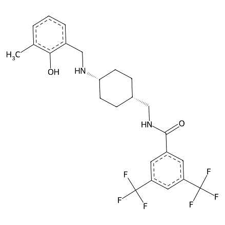 Cc1cccc(CN[C@H]2CC[C@@H](CNC(=O)c3cc(C(F)(F)F)cc(C(F)(F)F)c3)CC2)c1O